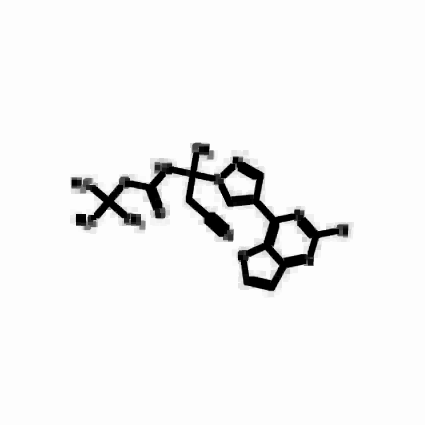 CC(C)(C)OC(=O)NC(C)(CC#N)n1cc(-c2nc(Cl)nc3ccoc23)cn1